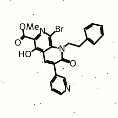 COC(=O)c1nc(Br)c2c(cc(-c3cccnc3)c(=O)n2CCc2ccccc2)c1O